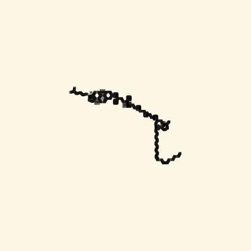 CCCCC/C=C\C/C=C\CCCCCCCCOCC(CN1CCCC1C)OCCOCCOCCNC(=O)CCC(=O)O[C@H]1CC[C@@]2(C)C(=CC[C@H]3[C@@H]4CC[C@H](CCCCC(C)C)[C@@]4(C)CC[C@@H]32)C1